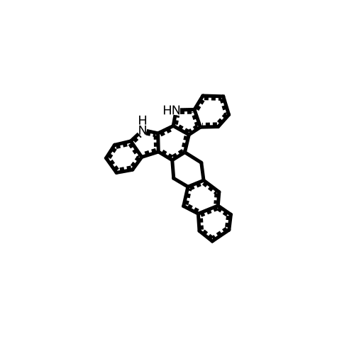 c1ccc2cc3c(cc2c1)Cc1c(c2c4ccccc4[nH]c2c2[nH]c4ccccc4c12)C3